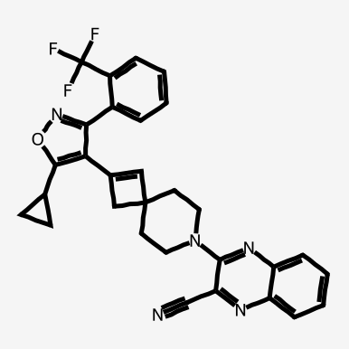 N#Cc1nc2ccccc2nc1N1CCC2(C=C(c3c(-c4ccccc4C(F)(F)F)noc3C3CC3)C2)CC1